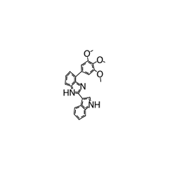 COc1cc(-c2cccc3[nH]c(-c4c[nH]c5ccccc45)nc23)cc(OC)c1OC